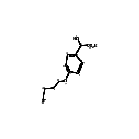 CCOC(=O)C(O)c1ccc(OCCCBr)cc1